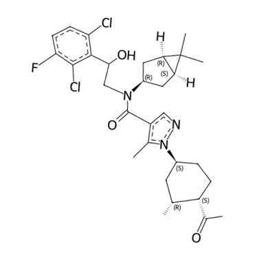 CC(=O)[C@H]1CC[C@H](n2ncc(C(=O)N(CC(O)c3c(Cl)ccc(F)c3Cl)[C@H]3C[C@@H]4[C@H](C3)C4(C)C)c2C)C[C@H]1C